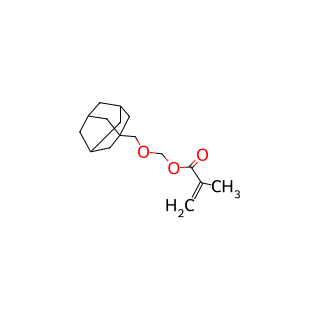 C=C(C)C(=O)OCOCC12CC3CC(CC(C3)C1)C2